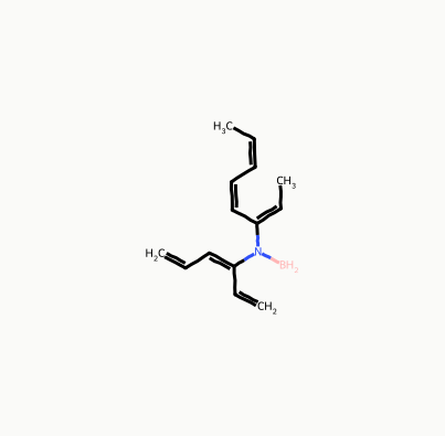 BN(/C(C=C)=C/C=C)C(/C=C\C=C/C)=C/C